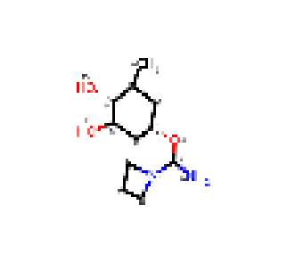 CC1C[C@H](OC(N)N2CCC2)CC(O)[C@@H]1O